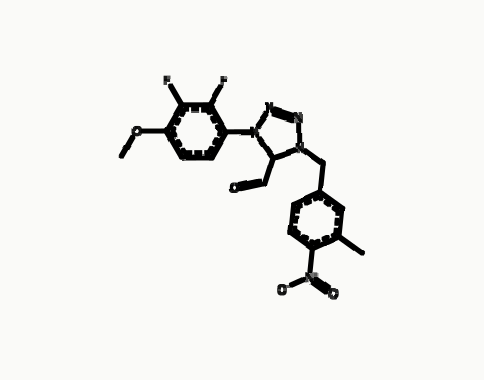 COc1ccc(N2N=NN(Cc3ccc([N+](=O)[O-])c(C)c3)C2C=O)c(F)c1F